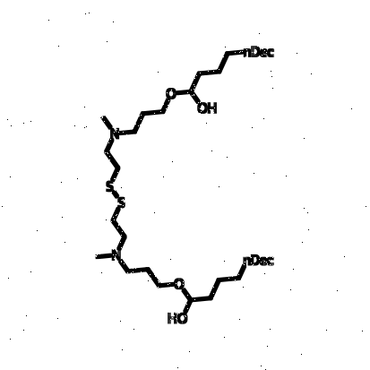 CCCCCCCCCCCCCC(O)OCCCN(C)CCSSCCN(C)CCCOC(O)CCCCCCCCCCCCC